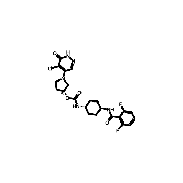 O=C(N[C@H]1CC[C@H](NC(=O)c2c(F)cccc2F)CC1)O[C@@H]1CCN(c2cn[nH]c(=O)c2Cl)C1